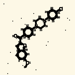 COc1ccc2cc(C(=O)c3ccc(N4CCN(c5ccc(Cl)cc5)CC4)cc3)oc2c1